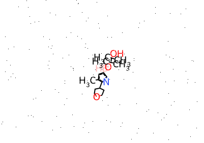 Cc1cc(BOC(C)(C)C(C)(C)O)cnc1C1CCOCC1